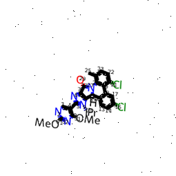 COc1ncc(-c2nc3c(n2C(C)C)[C@@H]2c4ccc(Cl)cc4-c4c(Cl)ccc(C)c4N2C3=O)c(OC)n1